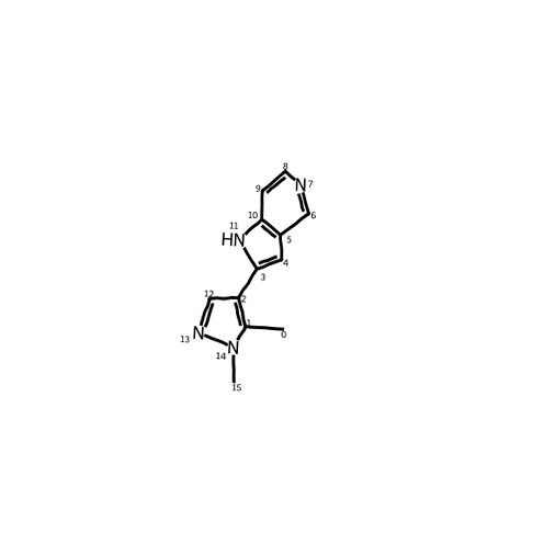 Cc1c(-c2cc3cnccc3[nH]2)cnn1C